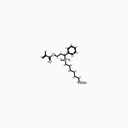 C=C(C)C(=O)OCCC(c1ccccc1)[N+](C)(C)CCCCCCCCCCCCCCCC